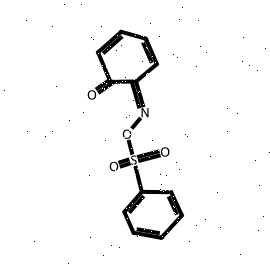 O=C1C=CC=CC1=NOS(=O)(=O)c1ccccc1